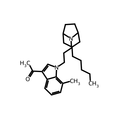 CCCCCC1CC2CCC(C1)N2CCCn1cc(C(C)=O)c2cccc(C)c21